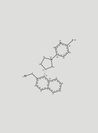 [N]Cc1ccc2ccccc2c1[C@@H]1CCN(c2ccc(F)nc2)C1